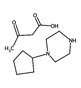 C1CCC(N2CCNCC2)C1.CC(=O)CC(=O)O